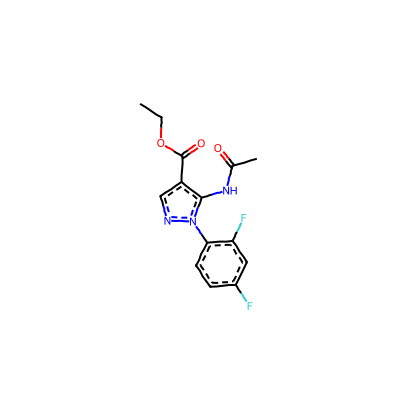 CCOC(=O)c1cnn(-c2ccc(F)cc2F)c1NC(C)=O